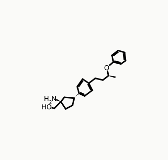 C[C@@H](CCc1ccc([C@@H]2CC[C@](N)(CO)C2)cc1)Oc1ccccc1